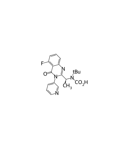 C[C@@H](c1nc2cccc(F)c2c(=O)n1-c1cccnc1)N(C(=O)O)C(C)(C)C